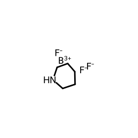 C1CCNCC1.[B+3].[F-].[F-].[F-]